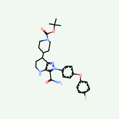 CC(C)(C)OC(=O)N1CCC(C2CCNc3c2nn(-c2ccc(Oc4ccc(F)cc4)cc2)c3C(N)=O)CC1